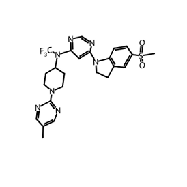 Cc1cnc(N2CCC(N(c3cc(N4CCc5cc(S(C)(=O)=O)ccc54)ncn3)C(F)(F)F)CC2)nc1